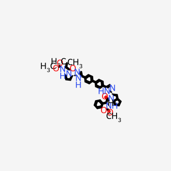 COC(=O)N[C@H](C(=O)N1CCC[C@H]1c1ncc(-c2ccc(-c3ccc(-c4cnc([C@@H]5CC6CCC[C@H]6N5C(=O)[C@H](NC(=O)OC)c5ccccc5)[nH]4)cc3)cc2)[nH]1)C(C)C